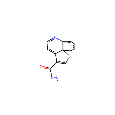 NC(=O)C1=CSC23CC=CC=C2N=CC=C13